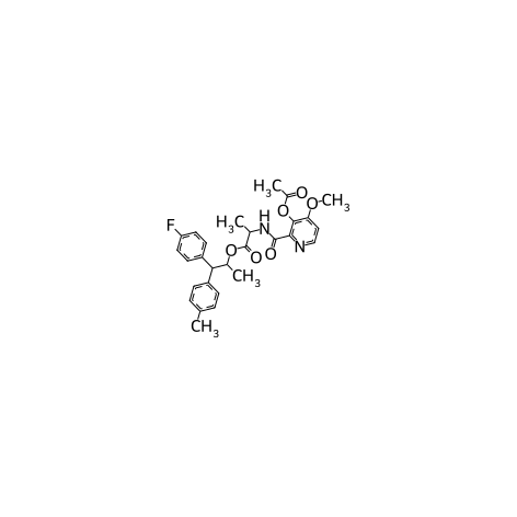 COc1ccnc(C(=O)NC(C)C(=O)OC(C)C(c2ccc(C)cc2)c2ccc(F)cc2)c1OC(C)=O